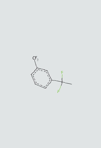 CC(F)(F)c1cccc(C(F)(F)F)c1